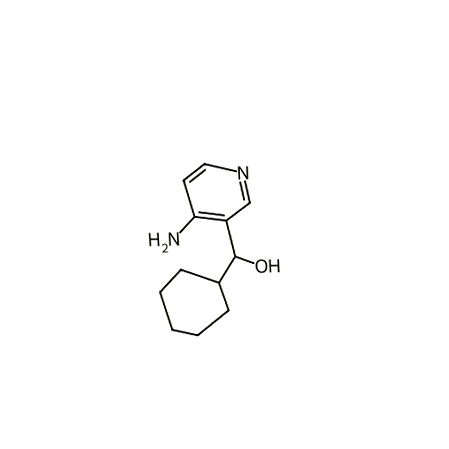 Nc1ccncc1C(O)C1CCCCC1